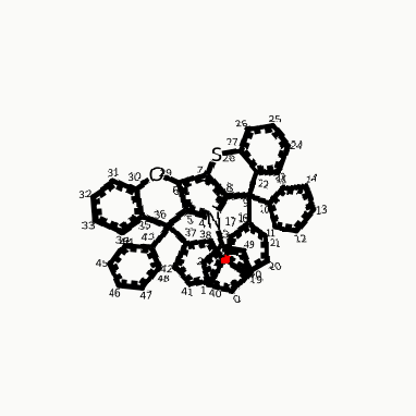 c1ccc(-n2c3c(c4c2C(c2ccccc2)(c2ccccc2)c2ccccc2S4)Oc2ccccc2C3(c2ccccc2)c2ccccc2)cc1